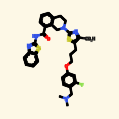 CN(C)Cc1ccc(OCCCc2sc(N3CCc4cccc(C(=O)Nc5nc6ccccc6s5)c4C3)nc2C(=O)O)cc1F